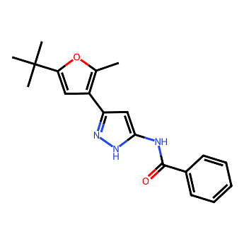 Cc1oc(C(C)(C)C)cc1-c1cc(NC(=O)c2ccccc2)[nH]n1